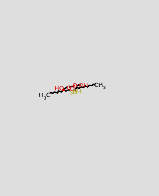 CCCCCCCCCCC(S)OC(S)CCCCCCCCCC.OCCOCCOCCO